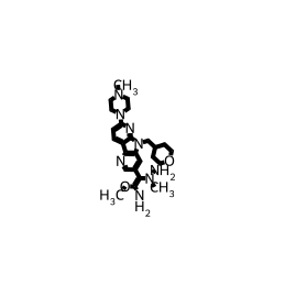 CO/C(N)=C(\c1cnc2c3ccc(N4CCN(C)CC4)nc3n(CC3CCOCC3)c2c1)N(C)N